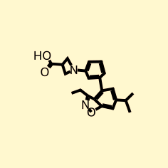 CCc1noc2cc(C(C)C)cc(-c3cccc(N4CC(C(=O)O)C4)c3)c12